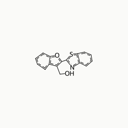 OCc1c(-c2nc3ccccc3s2)oc2ccccc12